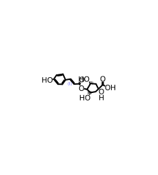 O=C(/C=C/c1ccc(O)cc1)OC1[C@H](O)CC(O)(C(=O)O)C[C@H]1O